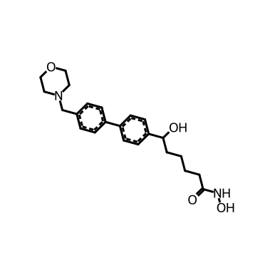 O=C(CCCCC(O)c1ccc(-c2ccc(CN3CCOCC3)cc2)cc1)NO